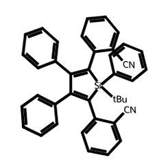 CC(C)(C)[Si]1(c2ccccc2)C(c2ccccc2C#N)=C(c2ccccc2)C(c2ccccc2)=C1c1ccccc1C#N